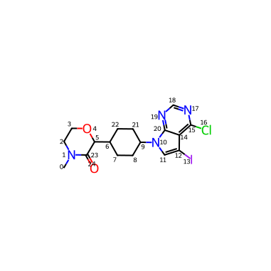 CN1CCOC(C2CCC(n3cc(I)c4c(Cl)ncnc43)CC2)C1=O